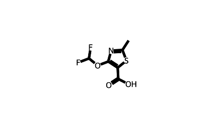 Cc1nc(OC(F)F)c(C(=O)O)s1